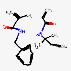 C=C(C)C(=O)NCc1ccccc1.C=CC(=O)NC(C)(C)CC(C)(C)C